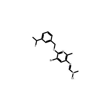 CCN(C)/C=N/c1cc(Br)c(OCc2cccc(C(C)F)c2)nc1C